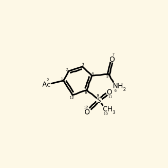 CC(=O)c1ccc(C(N)=O)c(S(C)(=O)=O)c1